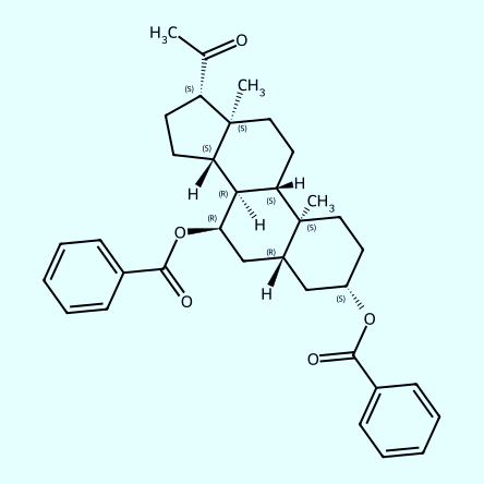 CC(=O)[C@H]1CC[C@H]2[C@@H]3[C@H](OC(=O)c4ccccc4)C[C@H]4C[C@@H](OC(=O)c5ccccc5)CC[C@]4(C)[C@H]3CC[C@]12C